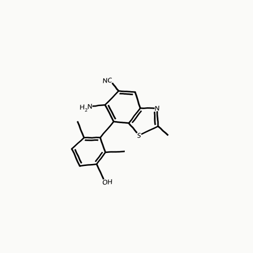 Cc1nc2cc(C#N)c(N)c(-c3c(C)ccc(O)c3C)c2s1